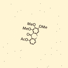 COc1cc(C)c(C(=O)c2c(C)cccc2OC(C)=O)c(OC)c1OC